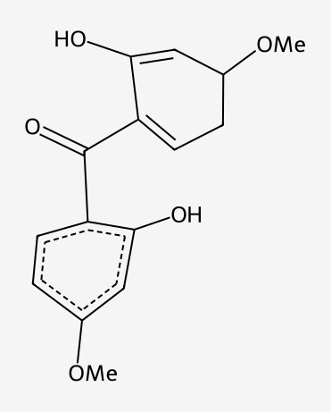 COc1ccc(C(=O)C2=CCC(OC)C=C2O)c(O)c1